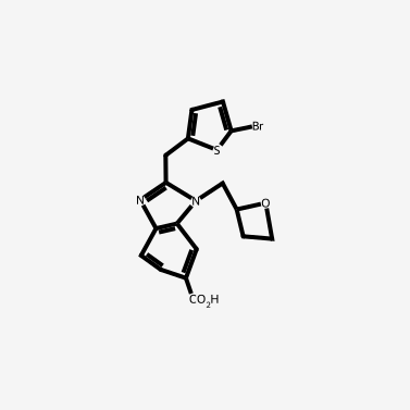 O=C(O)c1ccc2nc(Cc3ccc(Br)s3)n(CC3CCO3)c2c1